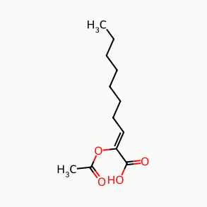 CCCCCCCC=C(OC(C)=O)C(=O)O